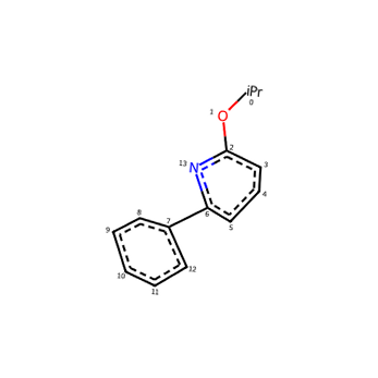 CC(C)Oc1cccc(-c2ccccc2)n1